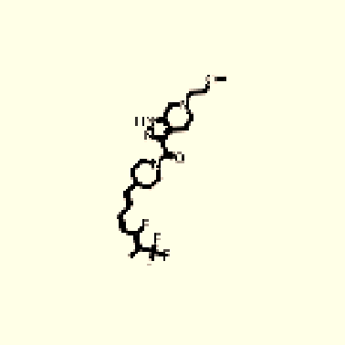 COCCN1CCc2c(C(=O)N3CCC(/C=C/C=C\C(F)=C(/C)C(F)(F)F)CC3)n[nH]c2C1